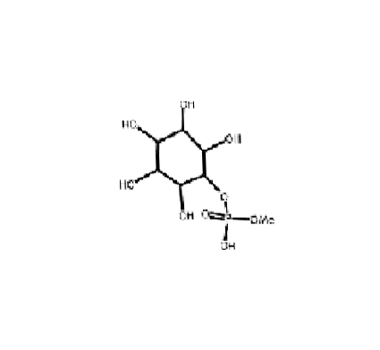 COP(=O)(O)OC1C(O)C(O)C(O)C(O)C1O